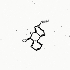 CNc1ccc2c(c1)oc(=O)c1ccccc12